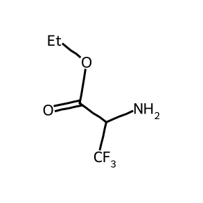 CCOC(=O)C(N)C(F)(F)F